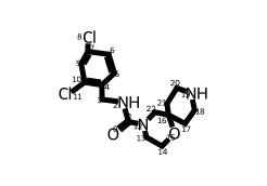 O=C(NCc1ccc(Cl)cc1Cl)N1CCOC2(CCNCC2)C1